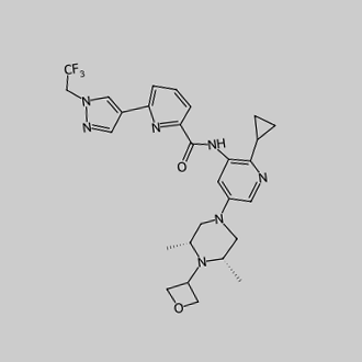 C[C@@H]1CN(c2cnc(C3CC3)c(NC(=O)c3cccc(-c4cnn(CC(F)(F)F)c4)n3)c2)C[C@H](C)N1C1COC1